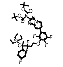 CC[Si](CC)(CC)OC(C)(c1ccc(F)cc1)C(F)(F)CCOc1c(F)c(F)cc(-c2ccn3nc(N(C(=O)OC(C)(C)C)C(=O)OC(C)(C)C)nc3c2)c1F